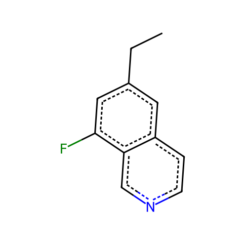 CCc1cc(F)c2cnccc2c1